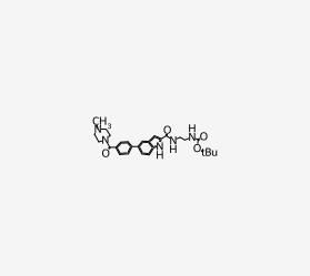 CN1CCN(C(=O)c2ccc(-c3ccc4[nH]c(C(=O)NCCNC(=O)OC(C)(C)C)cc4c3)cc2)CC1